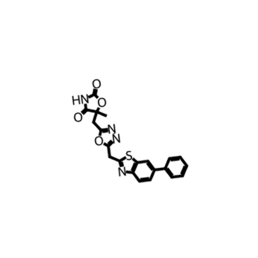 CC1(Cc2nnc(Cc3nc4ccc(-c5ccccc5)cc4s3)o2)OC(=O)NC1=O